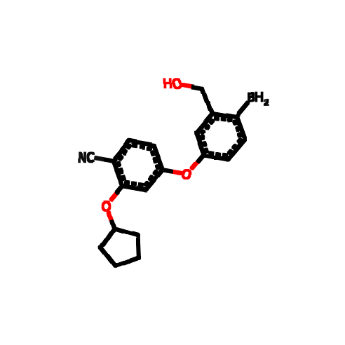 Bc1ccc(Oc2ccc(C#N)c(OC3CCCC3)c2)cc1CO